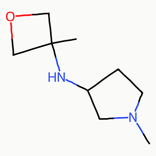 CN1CCC(NC2(C)COC2)C1